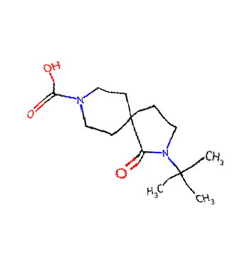 CC(C)(C)N1CCC2(CCN(C(=O)O)CC2)C1=O